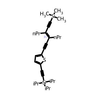 CCC/C(C#Cc1ccc(C#C[Si](C(C)C)(C(C)C)C(C)C)s1)=C(\C#C[Si](C)(C)C)CCC